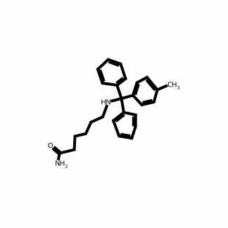 Cc1ccc(C(NCCCCCC(N)=O)(c2ccccc2)c2ccccc2)cc1